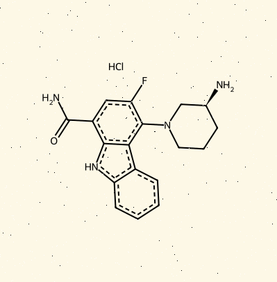 Cl.NC(=O)c1cc(F)c(N2CCC[C@H](N)C2)c2c1[nH]c1ccccc12